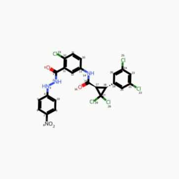 O=C(NNc1ccc([N+](=O)[O-])cc1)c1cc(NC(=O)[C@H]2[C@H](c3cc(Cl)cc(Cl)c3)C2(Cl)Cl)ccc1Cl